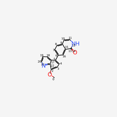 COc1ccc(-c2ccc3cc[nH]c(=O)c3c2)c2cccnc12